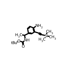 CC(NC(=O)OC(C)(C)C)c1ccc(N)c(C#C[Si](C)(C)C)c1